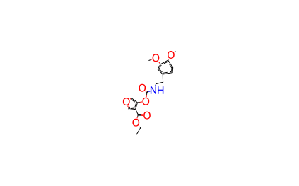 CCOC(=O)c1cocc1OC(=O)NCCc1ccc(OC)c(OC)c1